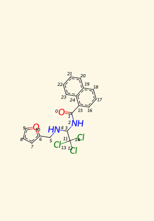 O=C(NC(NCc1ccco1)C(Cl)(Cl)Cl)c1cccc2ccccc12